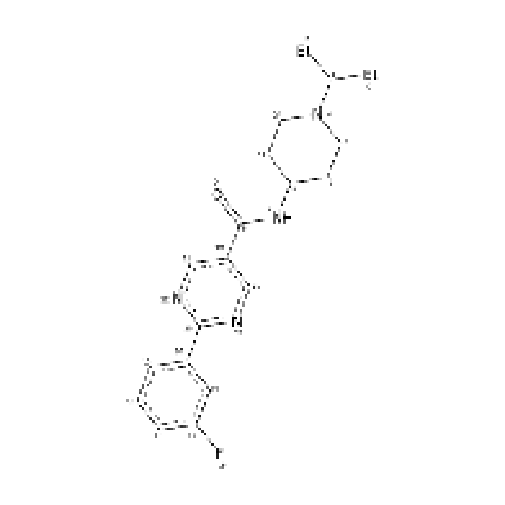 CCC(CC)N1CCC(NC(=O)c2cnc(-c3cccc(F)c3)nc2)CC1